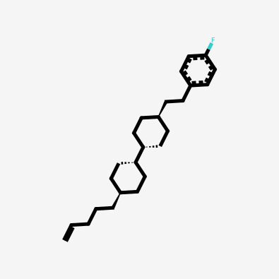 C=CCCC[C@H]1CC[C@H]([C@H]2CC[C@H](CCc3ccc(F)cc3)CC2)CC1